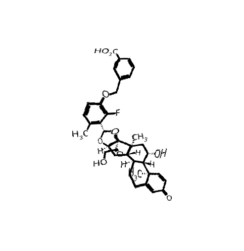 Cc1ccc(OCc2cccc(C(=O)O)c2)c(F)c1[C@H]1O[C@@H]2C[C@H]3[C@@H]4CCC5=CC(=O)C=C[C@]5(C)[C@H]4[C@@H](O)C[C@]3(C)[C@]2(C(=O)CO)O1